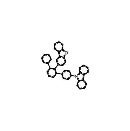 c1ccc(-c2cccc(-c3ccc(-n4c5ccccc5c5ccccc54)cc3)c2-c2ccc3oc4ccccc4c3c2)cc1